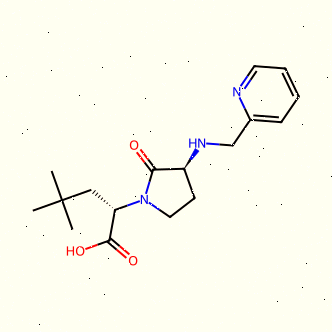 CC(C)(C)C[C@@H](C(=O)O)N1CC[C@H](NCc2ccccn2)C1=O